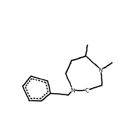 CC1CCN(Cc2ccccc2)CCN1C